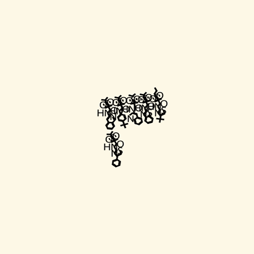 CC(C)S(=O)(=O)C(C)(C)C(=O)Nc1cc2ccccc2cn1.CC(C)S(=O)(=O)C(C)(C)C(=O)Nc1ccc(C(C)(C)C)cc1.CC(C)S(=O)(=O)C(C)(C)C(=O)Nc1cnc2ccccc2c1.CC(C)S(=O)(=O)C(C)(C)C(=O)Nc1nc(-c2ccccc2)cs1.CC(C)S(=O)(=O)C(C)(C)C(=O)Nc1nc2ccccc2s1.CCCS(=O)(=O)C(C)(C)C(=O)Nc1nc(C(C)(C)C)cs1